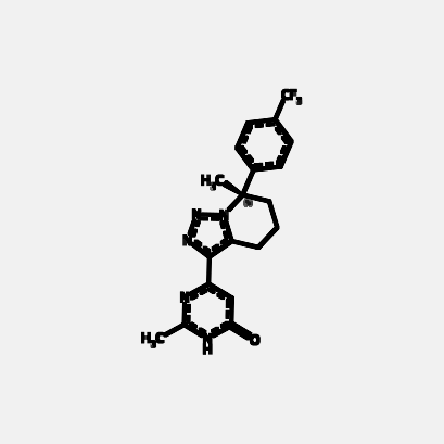 Cc1nc(-c2nnn3c2CCC[C@@]3(C)c2ccc(C(F)(F)F)cc2)cc(=O)[nH]1